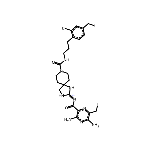 Nc1nc(N)c(C(=O)/N=C2\NCC3(CCN(C(=O)NCCCc4ccc(CI)cc4Cl)CC3)N2)nc1CI